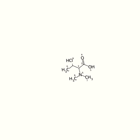 CCC(C(=O)O)N(C)C.Cl